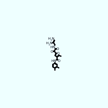 Cc1ccc(NC(=O)c2cc(C(=O)C(=O)NC/C(N)=C/N)oc2C)cc1C